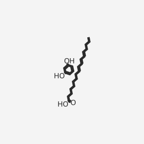 CCCCC=CC=CC=CCCCCCCCC(=O)O.Oc1cccc(O)c1